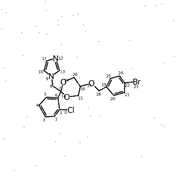 Clc1ccccc1C1(Cn2ccnc2)OCC(OCc2ccc(Br)cc2)CO1